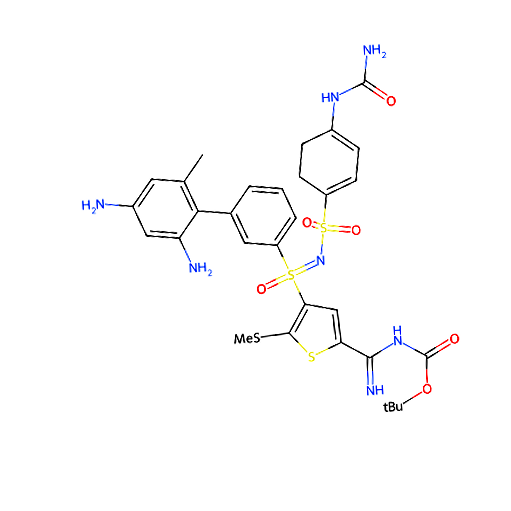 CSc1sc(C(=N)NC(=O)OC(C)(C)C)cc1S(=O)(=NS(=O)(=O)C1=CC=C(NC(N)=O)CC1)c1cccc(-c2c(C)cc(N)cc2N)c1